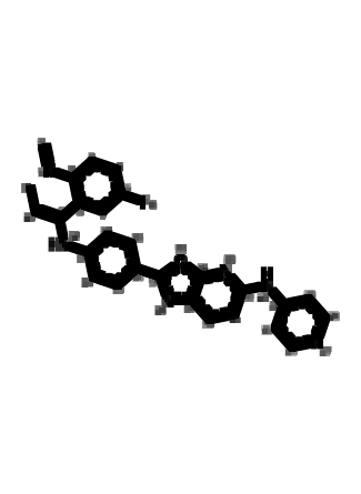 C=Nc1ccc(F)cc1/C(=C\C)Nc1ccc(-c2nc3ccc(Nc4ccncc4)nc3o2)cc1